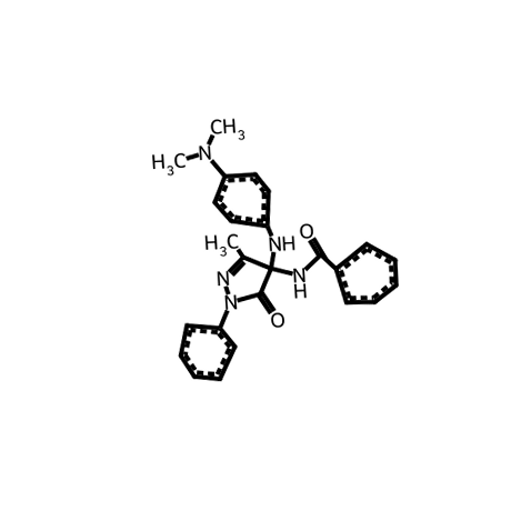 CC1=NN(c2ccccc2)C(=O)C1(NC(=O)c1ccccc1)Nc1ccc(N(C)C)cc1